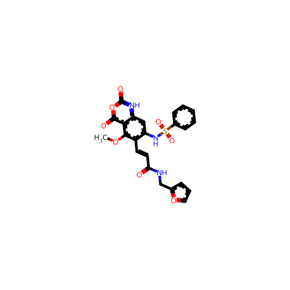 COc1c(/C=C/C(=O)NCc2ccco2)c(NS(=O)(=O)c2ccccc2)cc2[nH]c(=O)oc(=O)c12